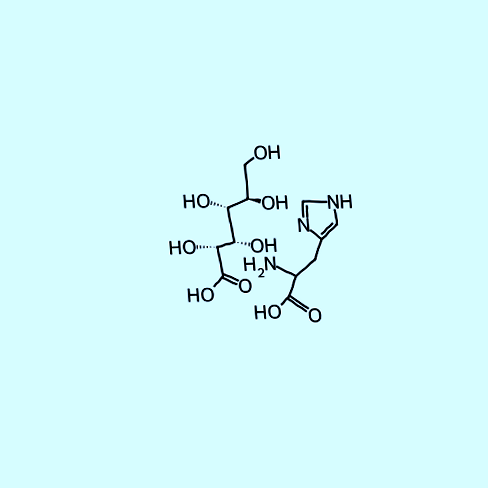 NC(Cc1c[nH]cn1)C(=O)O.O=C(O)[C@H](O)[C@@H](O)[C@H](O)[C@H](O)CO